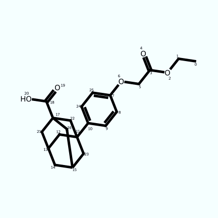 CCOC(=O)COc1ccc(C23CC4CC(CC(C(=O)O)(C4)C2)C3)cc1